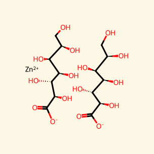 O=C([O-])[C@H](O)[C@H](O)[C@H](O)[C@@H](O)[C@H](O)CO.O=C([O-])[C@H](O)[C@H](O)[C@H](O)[C@@H](O)[C@H](O)CO.[Zn+2]